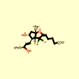 CCCCC[C@H](O)C=C[C@@H]1[C@@H]2[C@H](C[C@H]1O)OC(=CCCCC(=O)[O-])C2(F)F.[Na+]